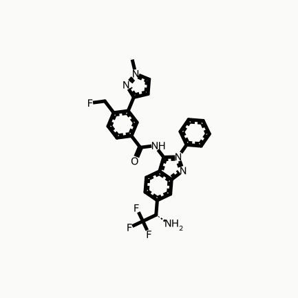 Cn1ccc(-c2cc(C(=O)Nc3c4ccc([C@H](N)C(F)(F)F)cc4nn3-c3ccccc3)ccc2CF)n1